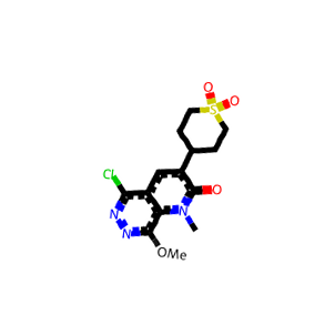 COc1nnc(Cl)c2cc(C3CCS(=O)(=O)CC3)c(=O)n(C)c12